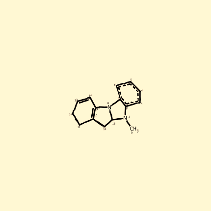 CN1c2ccccc2N2C3=C(CCC=C3)CC12